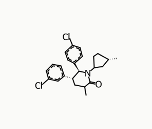 CC1C[C@H](c2cccc(Cl)c2)[C@@H](c2ccc(Cl)cc2)N(C2CC[C@H](C)C2)C1=O